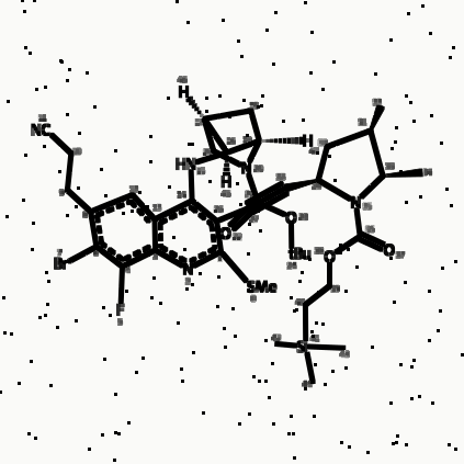 CSc1nc2c(F)c(Br)c(CCC#N)cc2c(N[C@H]2[C@@H]3C[C@H]2N(C(=O)OC(C)(C)C)C3)c1C#C[C@H]1C[C@@H](C)[C@@H](C)N1C(=O)OCC[Si](C)(C)C